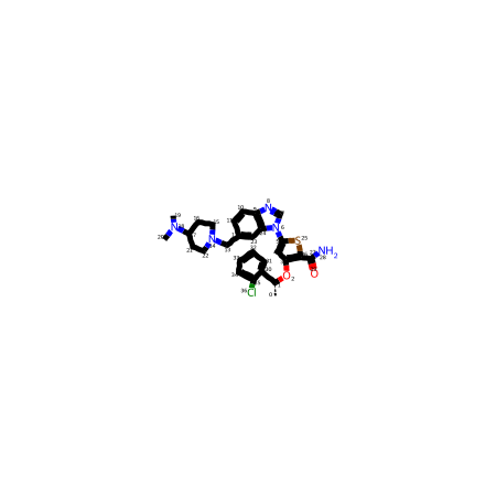 C[C@@H](Oc1cc(-n2cnc3ccc(CN4CCC(N(C)C)CC4)cc32)sc1C(N)=O)c1ccccc1Cl